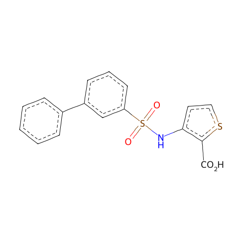 O=C(O)c1sccc1NS(=O)(=O)c1cccc(-c2ccccc2)c1